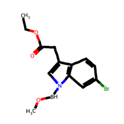 CCOC(=O)Cc1cn(BOC)c2cc(Br)ccc12